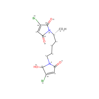 O=C(O)[C@H](CCCCN1C(=O)C=C(Br)C1O)N1C(=O)C=C(Br)C1=O